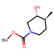 C[C@H]1CCN(C(=O)OC(C)(C)C)C[C@@H]1O